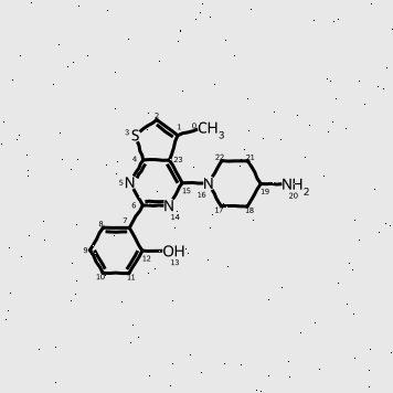 Cc1csc2nc(-c3ccccc3O)nc(N3CCC(N)CC3)c12